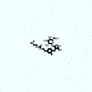 Cc1cc(CCNC(=O)NCCN(C)C)ccc1Cc1c(O[C@@H]2O[C@H](CO)[C@@H](O)[C@H](O)[C@H]2O)n[nH]c1C(C)C